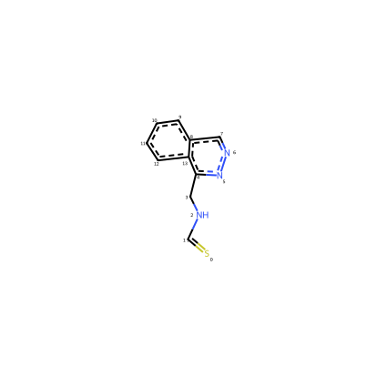 S=[C]NCc1nncc2ccccc12